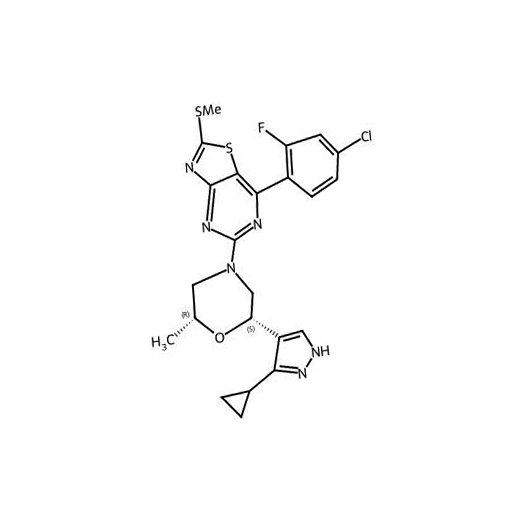 CSc1nc2nc(N3C[C@@H](C)O[C@@H](c4c[nH]nc4C4CC4)C3)nc(-c3ccc(Cl)cc3F)c2s1